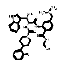 CCNC(=O)c1ccc(CN(C)C)cc1NC(=O)[C@H](NC(=O)N1CCC(c2ccccc2C)CC1)[C@H](C)c1c[nH]c2ccccc12